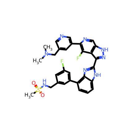 CN(C)Cc1cncc(-c2ncc3[nH]nc(-c4nc5c(-c6cc(F)cc(CNS(C)(=O)=O)c6)cccc5[nH]4)c3c2F)c1